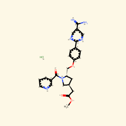 COC(=O)C[C@@H]1C[C@@H](COc2ccc(-c3ncc(C(=N)N)cn3)cc2)N(C(=O)c2cccnc2)C1.Cl